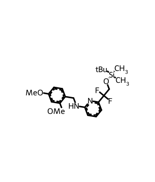 COc1ccc(CNc2cccc(C(F)(F)CO[Si](C)(C)C(C)(C)C)n2)c(OC)c1